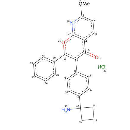 COc1ccc2c(=O)c(-c3ccc(C4(N)CCC4)cc3)c(-c3ccccc3)oc2n1.Cl